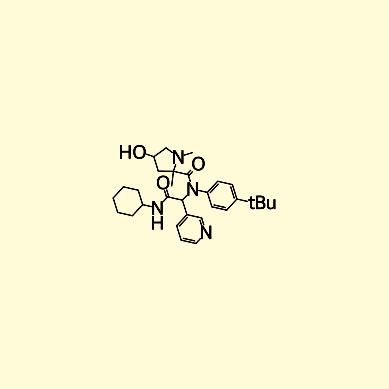 CN1CC(O)CC1(C)C(=O)N(c1ccc(C(C)(C)C)cc1)C(C(=O)NC1CCCCC1)c1cccnc1